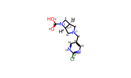 O=C(O)N1C[C@H]2CN(Cc3cnc(Cl)nc3)C[C@H]21